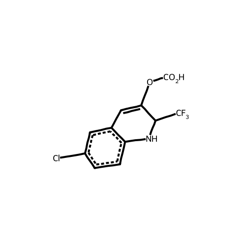 O=C(O)OC1=Cc2cc(Cl)ccc2NC1C(F)(F)F